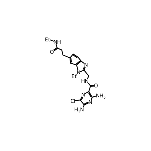 CCNC(=O)CCc1ccc2nc(CNC(=O)c3nc(Cl)c(N)nc3N)n(CC)c2c1